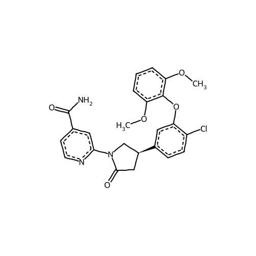 COc1cccc(OC)c1Oc1cc([C@H]2CC(=O)N(c3cc(C(N)=O)ccn3)C2)ccc1Cl